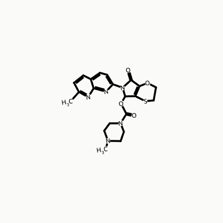 Cc1ccc2ccc(N3C(=O)C4=C(SCCO4)C3OC(=O)N3CCN(C)CC3)nc2n1